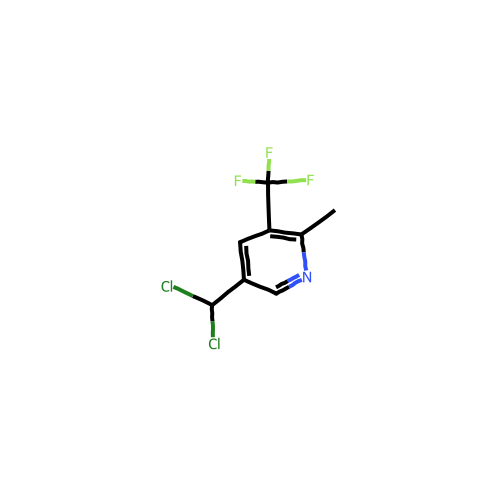 Cc1ncc(C(Cl)Cl)cc1C(F)(F)F